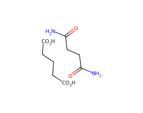 NC(=O)CCC(N)=O.O=C(O)CCCC(=O)O